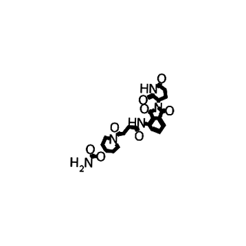 NC(=O)OC1CCN(C(=O)CCC(=O)Nc2cccc3c2C(=O)N(C2CCC(=O)NC2=O)C3=O)CC1